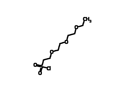 CCOCCOCCOCCS(=O)(=O)Cl